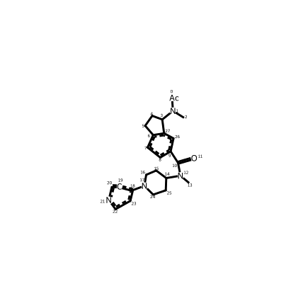 CC(=O)N(C)C1CCc2ccc(C(=O)N(C)C3CCN(c4ccncc4)CC3)cc21